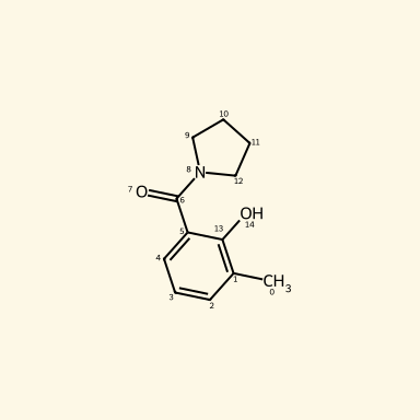 Cc1cccc(C(=O)N2CCCC2)c1O